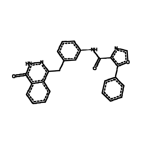 O=C(Nc1cccc(Cc2n[nH]c(=O)c3ccccc23)c1)c1ncoc1-c1ccccc1